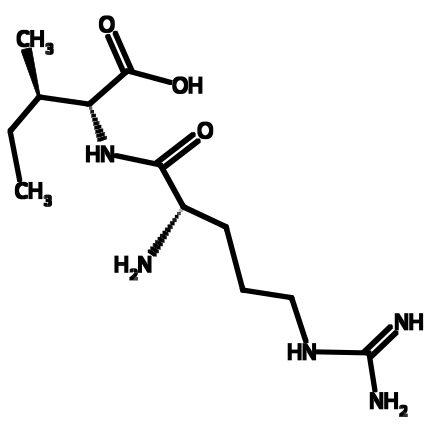 CC[C@@H](C)[C@@H](NC(=O)[C@@H](N)CCCNC(=N)N)C(=O)O